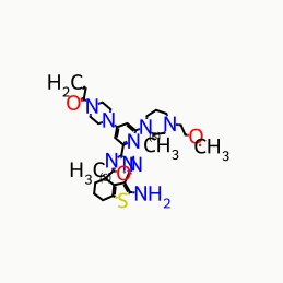 C=CC(=O)N1CCN(c2cc(-c3noc([C@@]4(C)CCCc5sc(N)c(C#N)c54)n3)nc(N3CCCN(CCOC)C[C@@H]3C)c2)CC1